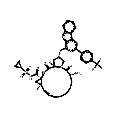 N[C@H]1CCCCCC=C[C@@H]2C[C@@]2(C(=O)NS(=O)(=O)C2CC2)NC(=O)[C@@H]2C[C@@H](Oc3nc(-c4ccc(C(F)(F)F)cc4)nc4c3oc3ccccc34)CN2C1=O